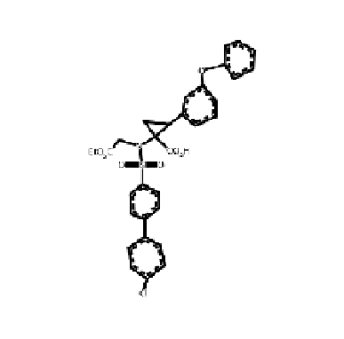 CCOC(=O)CN(C1(C(=O)O)CC1c1cccc(Oc2ccccc2)c1)S(=O)(=O)c1ccc(-c2ccc(Cl)cc2)cc1